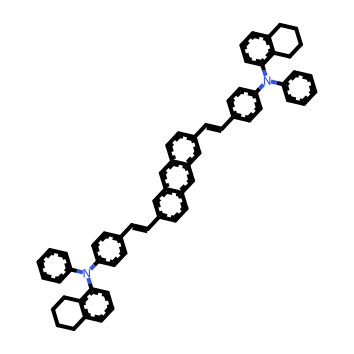 C(=Cc1ccc2cc3cc(C=Cc4ccc(N(c5ccccc5)c5cccc6c5CCCC6)cc4)ccc3cc2c1)c1ccc(N(c2ccccc2)c2cccc3c2CCCC3)cc1